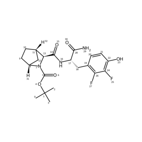 CC(C)(C)OC(=O)N1[C@@H]2CC[C@@H](C2)[C@H]1C(=O)N[C@@H](Cc1ccc(O)c(F)c1F)C(N)=O